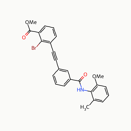 COC(=O)c1cccc(C#Cc2cccc(C(=O)Nc3c(C)cccc3OC)c2)c1Br